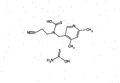 Cc1cc(C)c(CN(CCC#N)C(O)=S)cn1.NC(O)=S